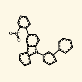 O=[N+]([O-])c1ccccc1-c1ccc2c(c1)c1ccccc1n2-c1cccc(-c2ccccc2)c1